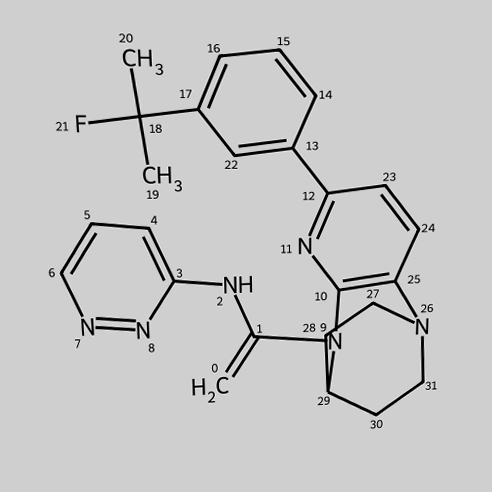 C=C(Nc1cccnn1)N1c2nc(-c3cccc(C(C)(C)F)c3)ccc2N2CCC1CC2